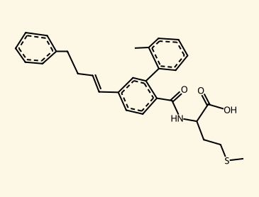 CSCCC(NC(=O)c1ccc(C=CCCc2ccccc2)cc1-c1ccccc1C)C(=O)O